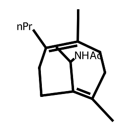 CCC/C1=C(\C)CC/C(C)=C(\C(C)NC(C)=O)CC1